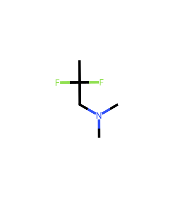 CN(C)CC(C)(F)F